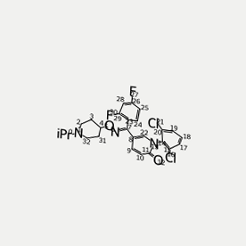 CC(C)N1CCC(ON=C(c2ccc(=O)n(-c3c(Cl)cccc3Cl)c2)c2ccc(F)cc2F)CC1